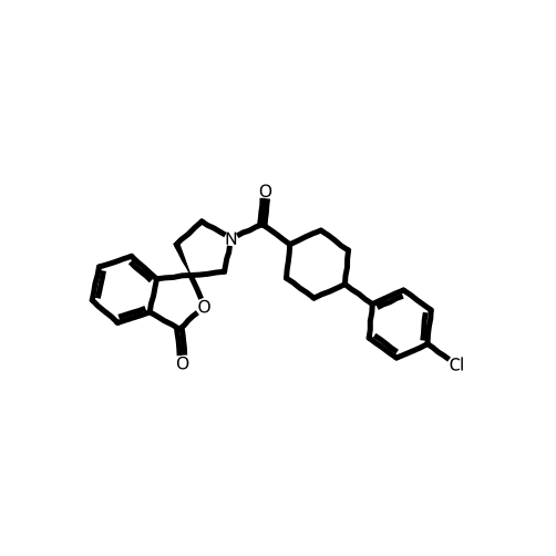 O=C1O[C@]2(CCN(C(=O)C3CCC(c4ccc(Cl)cc4)CC3)C2)c2ccccc21